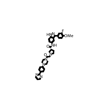 COc1ccc(-c2n[nH]c3ccc(NC(=O)[C@@H]4CCN(CC(=O)N5CCN(c6ccc(-c7ncccn7)cc6)CC5)C4)cc23)cc1F